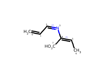 C=C/C=N\C(=C\C)C(=O)O